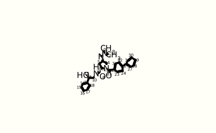 CN(C)N=C1C[C@@H](C(=O)NC[C@H](O)c2ccccc2)N(C(=O)c2ccc(-c3ccccc3)cc2)C1